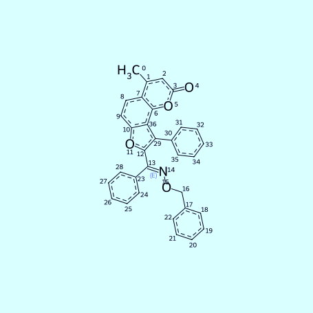 Cc1cc(=O)oc2c1ccc1oc(/C(=N/OCc3ccccc3)c3ccccc3)c(-c3ccccc3)c12